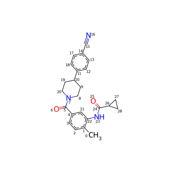 Cc1ccc(C(=O)N2CCC(c3ccc(C#N)cc3)CC2)cc1NC(=O)C1CC1